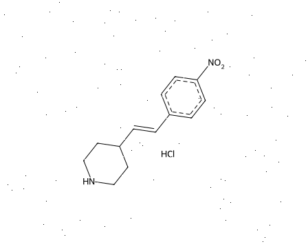 Cl.O=[N+]([O-])c1ccc(/C=C/C2CCNCC2)cc1